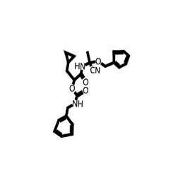 CC(C#N)(NC(=O)C(CC1CC1)OC(=O)NCc1ccccc1)OCc1ccccc1